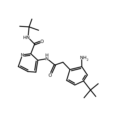 CC(C)(C)NC(=O)c1ncccc1NC(=O)Cc1ccc(C(C)(C)C)cc1N